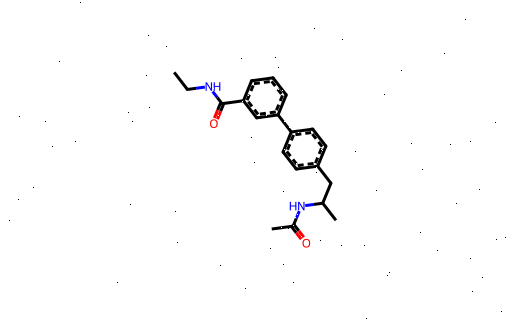 CCNC(=O)c1cccc(-c2ccc(CC(C)NC(C)=O)cc2)c1